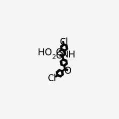 O=C(Nc1ccc(Cl)cc1C(=O)O)c1ccc(C(=O)c2ccc(Cl)cc2)cc1